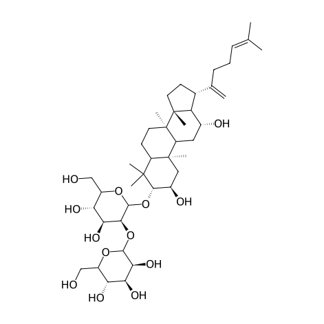 C=C(CCC=C(C)C)[C@H]1CC[C@]2(C)C1[C@H](O)CC1[C@@]3(C)C[C@@H](O)[C@H](OC4OC(CO)[C@@H](O)[C@H](O)[C@@H]4OC4OC(CO)[C@@H](O)[C@H](O)[C@@H]4O)C(C)(C)C3CC[C@]12C